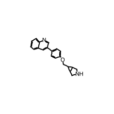 c1ccc2ncc(-c3ccc(OCC4C5CNCC54)cc3)cc2c1